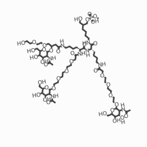 COP(=O)(O)OCC(CO)CCCCNC(=O)[C@H](CCCCNC(=O)COCCOCCOCCOC1OC(CO)C(O)C(O)C1NC(C)=O)NC(=O)[C@H](CCCCNC(=O)CC(COCCOCCO)OC1OC(CO)C(O)C(O)C1NC(C)=O)NC(=O)COCCOCCOCCOC1OC(CO)C(O)C(O)C1NC(C)=O